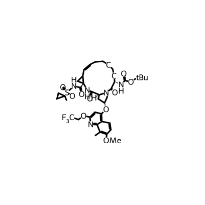 COc1ccc2c(O[C@@H]3C[C@H]4C(=O)N[C@]5(C(=O)NS(=O)(=O)C6(C)CC6)CC5/C=C\CCCCC[C@H](NC(=O)OC(C)(C)C)C(=O)N4C3)cc(OCC(F)(F)F)nc2c1C